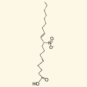 CCCCCCC/C=C/C(CCCCCCCC(=O)O)[N+](=O)[O-]